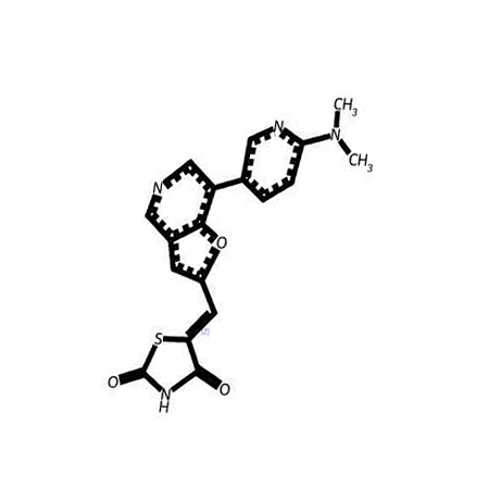 CN(C)c1ccc(-c2cncc3cc(/C=C4\SC(=O)NC4=O)oc23)cn1